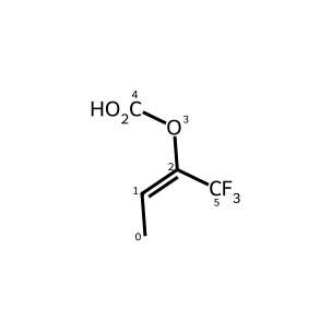 CC=C(OC(=O)O)C(F)(F)F